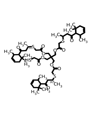 CC(CC(=O)C1C(C)C=CCC1(C)C)SCC(=O)OCC(COC(=O)CS)(COC(=O)CS[C@H](C)CC(=O)C1C(C)C=CCC1(C)C)COC(=O)CS[C@@H](C)CC(=O)C1C(C)C=CCC1(C)C